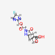 Cc1c(C(=O)NCC(=O)OCc2ncc(F)cn2)ccc2c1B(O)OC2